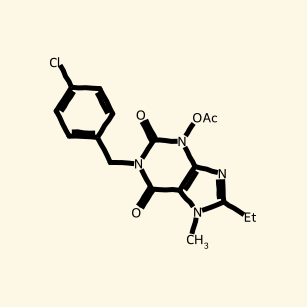 CCc1nc2c(c(=O)n(Cc3ccc(Cl)cc3)c(=O)n2OC(C)=O)n1C